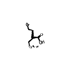 CC/C(=C\CBr)C(=O)O